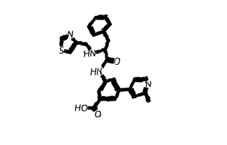 Cc1cc(-c2cc(NC(=O)C(Cc3ccccc3)NCc3cscn3)cc(C(=O)O)c2)ccn1